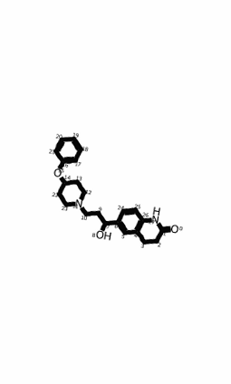 O=C1CCc2cc(C(O)CCN3CCC(Oc4ccccc4)CC3)ccc2N1